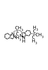 CC(C)(Cc1n[nH]c2cc(C(C)(C)C)ccc12)Cn1ncc2ccccc21